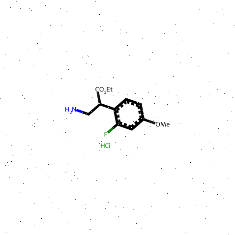 CCOC(=O)C(CN)c1ccc(OC)cc1F.Cl